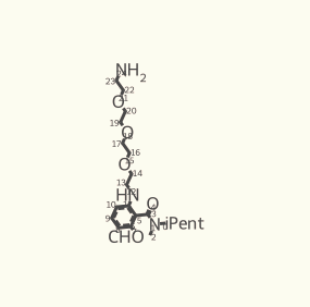 CCCC(C)N(C)C(=O)c1c(C=O)cccc1NCCOCCOCCOCCN